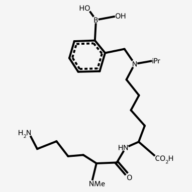 CNC(CCCCN)C(=O)NC(CCCCN(Cc1ccccc1B(O)O)C(C)C)C(=O)O